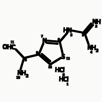 Cl.Cl.N=C(N)Nc1nc(C(N)C=O)cs1